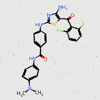 CN(C)c1ccc(NC(=O)c2ccc(Nc3nc(N)c(C(=O)c4c(F)cccc4F)s3)cc2)cc1